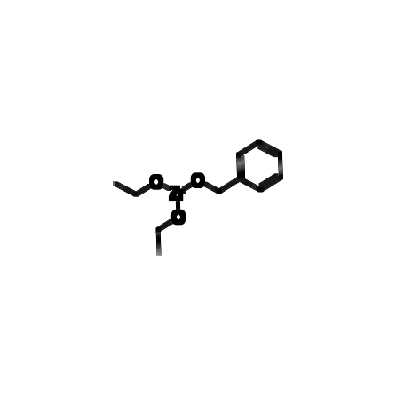 CC[O][Zr]([O]CC)[O]Cc1ccccc1